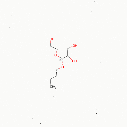 CCCCO[C@H](OCCO)C(O)CO